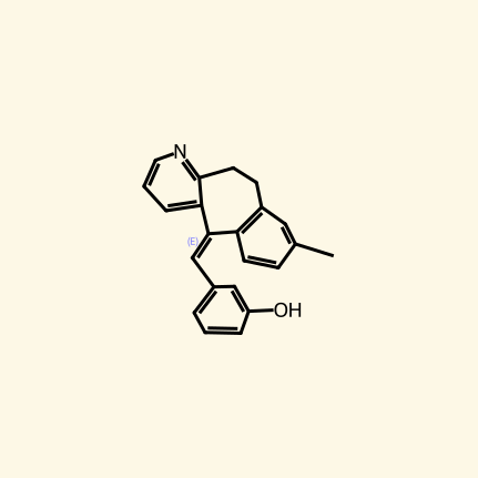 Cc1ccc2c(c1)CCc1ncccc1/C2=C/c1cccc(O)c1